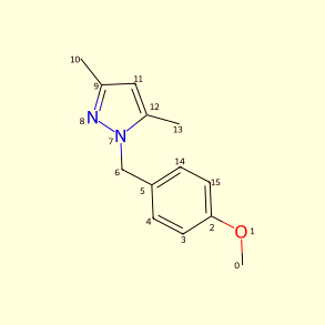 COc1ccc(Cn2nc(C)cc2C)cc1